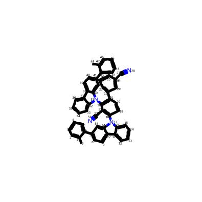 Cc1ccccc1-c1ccc2c3ccccc3n(-c3ccc(-c4cccc(C#N)c4)c(-n4c5ccccc5c5ccc(-c6ccccc6C)cc54)c3C#N)c2c1